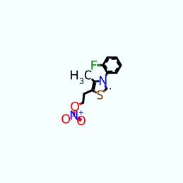 CC1=C(CCO[N+](=O)[O-])S[CH]N1c1ccccc1F